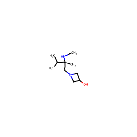 CN[C@](C)(CN1CC(O)C1)C(C)C